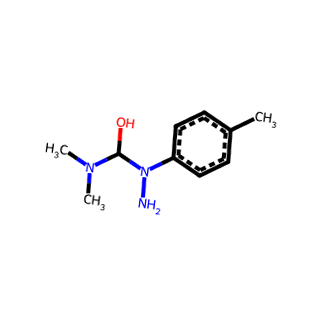 Cc1ccc(N(N)C(O)N(C)C)cc1